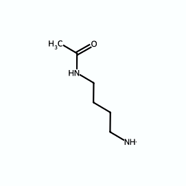 CC(=O)NCCCC[NH]